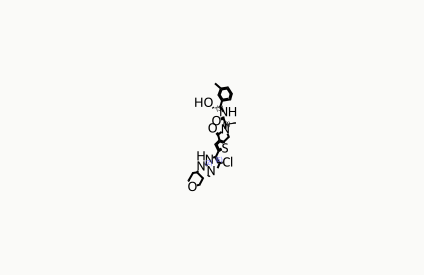 C=N/C(=N\C(=C(/C)Cl)c1cc2c(s1)CN([C@H](C)C(=O)N[C@H](CO)c1cccc(C)c1)C2=O)NC1CCOCC1